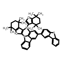 CC1(C)CCC(C)(C)c2c(N3c4cc(-c5ccc6sc7ccccc7c6c5)cc5c4B(c4ccccc4-5)c4oc5c(c43)C(C)(C)CCC5(C)C)coc21